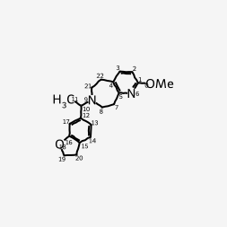 COc1ccc2c(n1)CCN(C(C)c1ccc3c(c1)OCC3)CC2